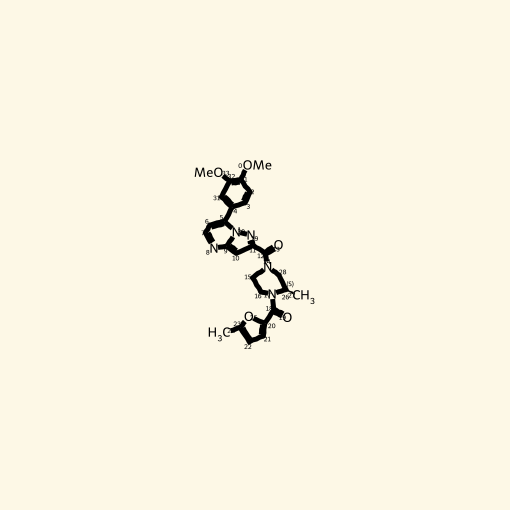 COc1ccc(-c2ccnc3cc(C(=O)N4CCN(C(=O)c5ccc(C)o5)[C@@H](C)C4)nn23)cc1OC